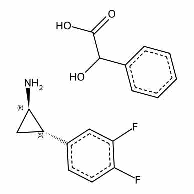 N[C@@H]1C[C@H]1c1ccc(F)c(F)c1.O=C(O)C(O)c1ccccc1